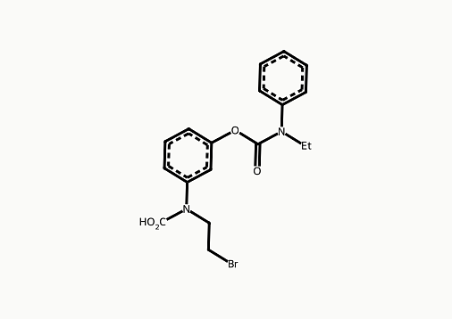 CCN(C(=O)Oc1cccc(N(CCBr)C(=O)O)c1)c1ccccc1